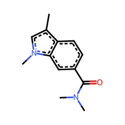 Cc1cn(C)c2cc(C(=O)N(C)C)ccc12